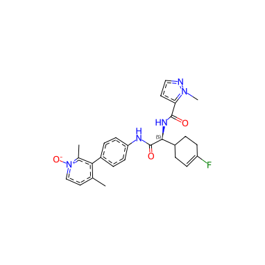 Cc1cc[n+]([O-])c(C)c1-c1ccc(NC(=O)[C@@H](NC(=O)c2ccnn2C)C2CC=C(F)CC2)cc1